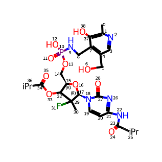 Cc1ncc(CO)c(CNP(=O)(O)OC[C@H]2O[C@@H](n3ccc(NC(=O)C(C)C)nc3=O)C(C)(F)C2OC(=O)C(C)C)c1O